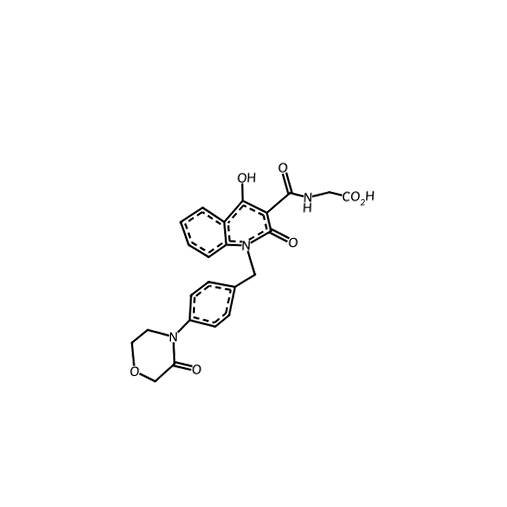 O=C(O)CNC(=O)c1c(O)c2ccccc2n(Cc2ccc(N3CCOCC3=O)cc2)c1=O